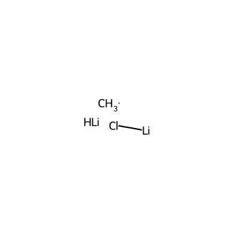 [CH3].[LiH].[Li][Cl]